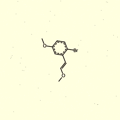 COC=Cc1cc(OC)ccc1Br